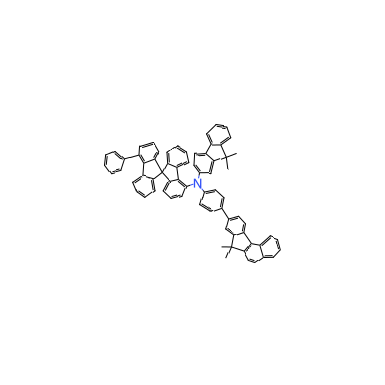 CC1(C)c2ccccc2-c2ccc(N(c3ccc(-c4ccc5c(c4)C(C)(C)c4ccc6ccccc6c4-5)cc3)c3cccc4c3-c3ccccc3C43c4ccccc4-c4c(-c5ccccc5)cccc43)cc21